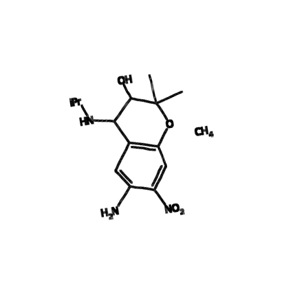 C.CC(C)NC1c2cc(N)c([N+](=O)[O-])cc2OC(C)(C)C1O